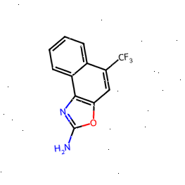 Nc1nc2c(cc(C(F)(F)F)c3ccccc32)o1